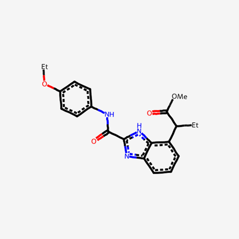 CCOc1ccc(NC(=O)c2nc3cccc(C(CC)C(=O)OC)c3[nH]2)cc1